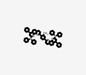 Cc1cc(-c2ccc3ccc4c(-c5ccccc5)cc(N(c5ccccc5)c5ccccc5)nc4c3n2)ccc1-c1ccc2ccc3c(-c4ccccc4)cc(N(c4ccccc4)c4ccccc4)nc3c2n1